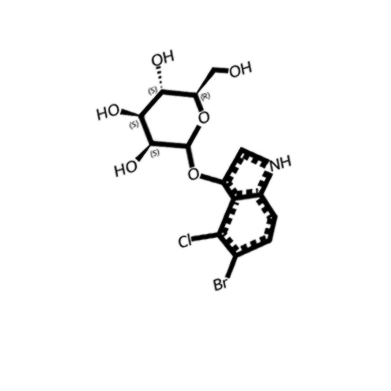 OC[C@H]1OC(Oc2c[nH]c3ccc(Br)c(Cl)c23)[C@@H](O)[C@@H](O)[C@@H]1O